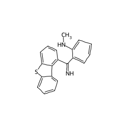 CNc1ccccc1C(=N)c1cccc2sc3ccccc3c12